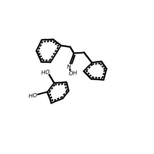 ON=C(Cc1ccccc1)Cc1ccccc1.Oc1ccccc1O